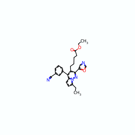 CCOC(=O)CCCCc1c(-c2cnco2)nn2c(CC)ccc2c1-c1cccc(C#N)c1